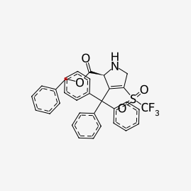 O=C(OCc1ccccc1)[C@H]1NCC(S(=O)(=O)C(F)(F)F)=C1C(c1ccccc1)(c1ccccc1)c1ccccc1